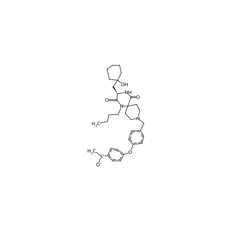 CCCCN1C(=O)[C@@H](CC2(O)CCCCC2)NC(=O)C12CCN(Cc1ccc(Oc3ccc([S+](C)[O-])cc3)cc1)CC2